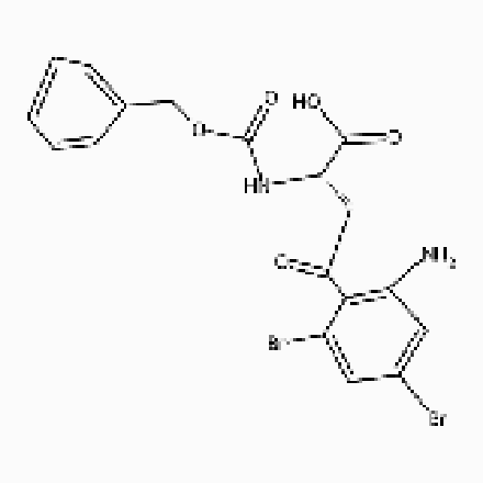 Nc1cc(Br)cc(Br)c1C(=O)C[C@H](NC(=O)OCc1ccccc1)C(=O)O